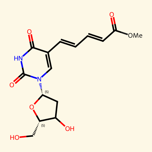 COC(=O)C=CC=Cc1cn([C@@H]2CC(O)[C@H](CO)O2)c(=O)[nH]c1=O